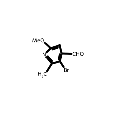 COc1cc(C=O)c(Br)c(C)n1